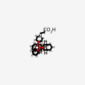 O=C(O)CCN1CCC(c2nc3ccccc3n2[C@H]2C[C@H]3CCC[C@@H](C2)N3[C@@H]2C[C@@H]3CCCC[C@@H](C3)C2)CC1